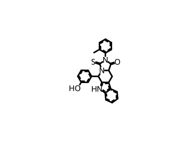 Cc1ccccc1N1C(=O)C2Cc3c([nH]c4ccccc34)C(c3cccc(O)c3)N2C1=S